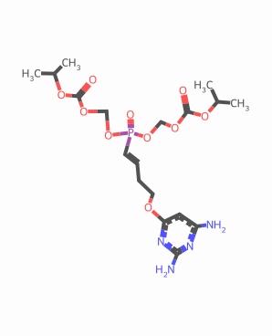 CC(C)OC(=O)OCOP(=O)(/C=C/CCOc1cc(N)nc(N)n1)OCOC(=O)OC(C)C